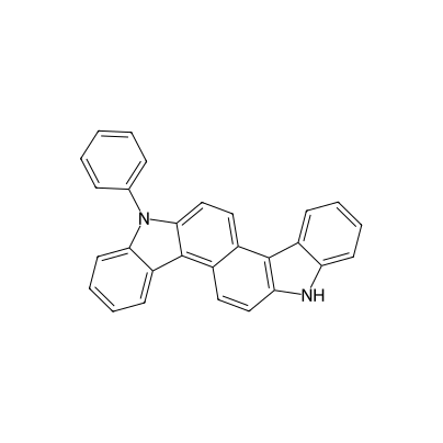 c1ccc(-n2c3ccccc3c3c4ccc5[nH]c6ccccc6c5c4ccc32)cc1